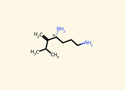 C=C(C(C)C)[C@H](N)CCCN